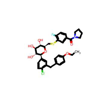 CCOc1ccc(Cc2cc([C@@H]3O[C@H](CSc4cc(C(=O)N5CCCC5)ccc4F)[C@@H](O)[C@H](O)[C@H]3O)ccc2Cl)cc1